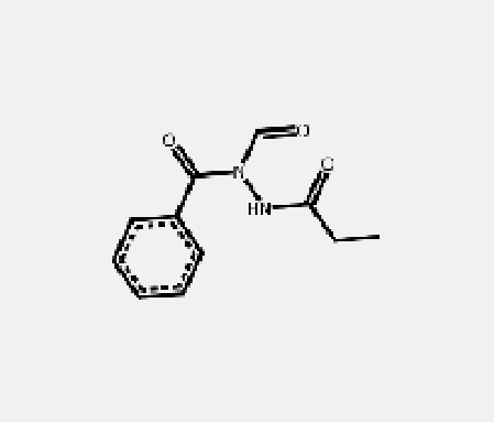 CCC(=O)NN(C=O)C(=O)c1ccccc1